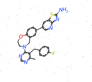 Cc1ncnc(N2CCOc3ccc(-c4cnc5nc(N)sc5c4)cc3C2)c1Cc1ccc(F)cc1